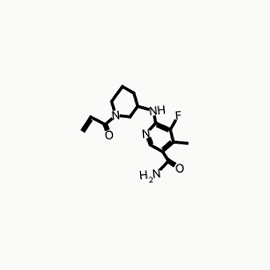 C=CC(=O)N1CCCC(Nc2ncc(C(N)=O)c(C)c2F)C1